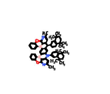 Cc1cc2c3c(n1)Oc1ccccc1B3c1cc3c(cc1C2c1ccc2c(c1)C(C)(C)CCC2(C)C)N(c1ccc2c(c1)C(C)(C)CCC2(C)C)c1cc(C)nc2c1B3c1ccccc1O2